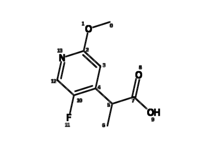 COc1cc(C(C)C(=O)O)c(F)cn1